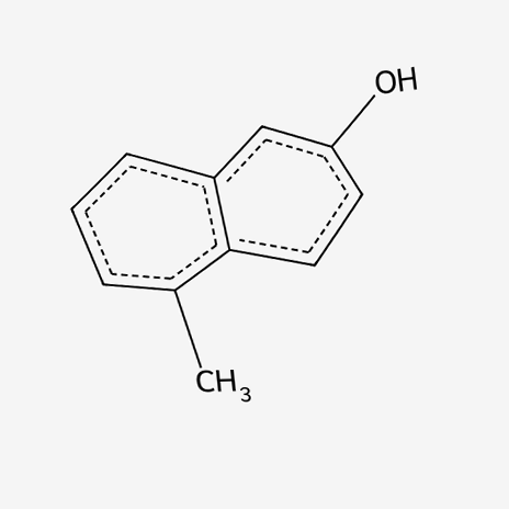 Cc1cccc2cc(O)ccc12